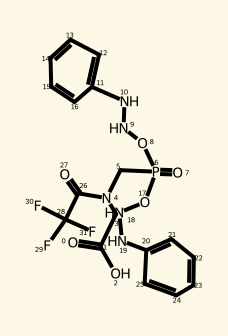 O=C(O)CN(CP(=O)(ONNc1ccccc1)ONNc1ccccc1)C(=O)C(F)(F)F